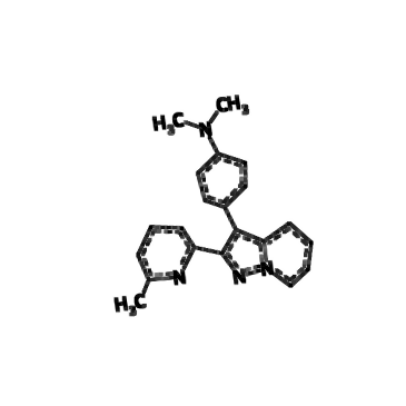 Cc1cccc(-c2nn3ccccc3c2-c2ccc(N(C)C)cc2)n1